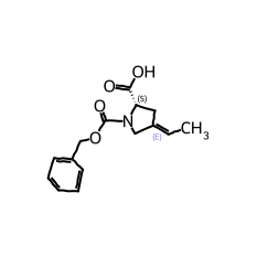 C/C=C1\C[C@@H](C(=O)O)N(C(=O)OCc2ccccc2)C1